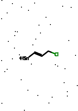 ClCC=[CH][SnH]